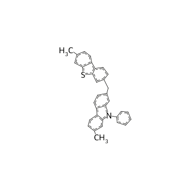 Cc1ccc2c(c1)sc1cc(Cc3ccc4c5ccc(C)cc5n(-c5ccccc5)c4c3)ccc12